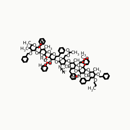 C=CCO[C@@H]1C(Cc2ccccc2)O[C@@H](O[C@@H]2C(COC(C)=O)O[C@@H](OC3C(Cc4ccccc4)O[C@@H](O[C@@H]4C(COC(C)=O)O[C@@H](OC5C(Cc6ccccc6)O[C@@H](O[C@@H]6C(COC(C)=O)O[C@@H](O[C@H]7C(Cc8ccccc8)O[C@@H](C)C(C)[C@@H]7OCc7ccccc7)C(N=[N+]=[N-])[C@H]6C)C(C)[C@@H]5OCc5ccccc5)C(N=[N+]=[N-])[C@H]4C)C(C)[C@@H]3OCc3ccccc3)C(N=[N+]=[N-])[C@H]2C)C(C)[C@@H]1OCc1ccccc1